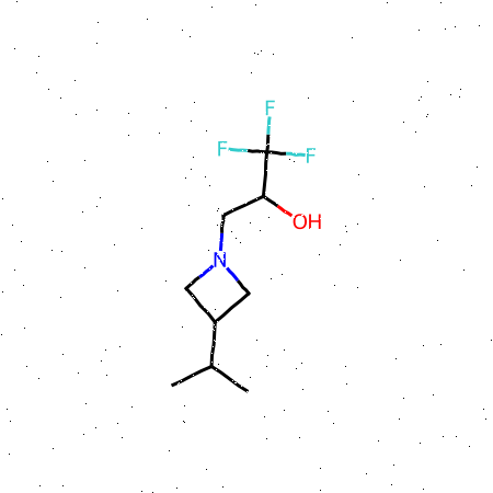 CC(C)C1CN(CC(O)C(F)(F)F)C1